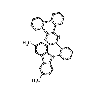 Cc1ccc2c(c1)c1cc(C)ccc1n2-c1ccccc1-c1cnc2c3ccccc3c3ccccc3c2n1